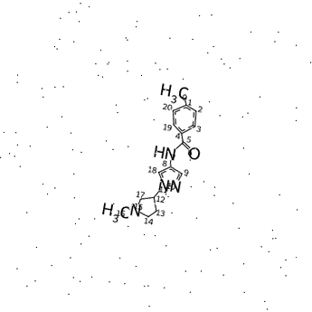 Cc1ccc(C(=O)Nc2cnn(C3CCN(C)C3)c2)cc1